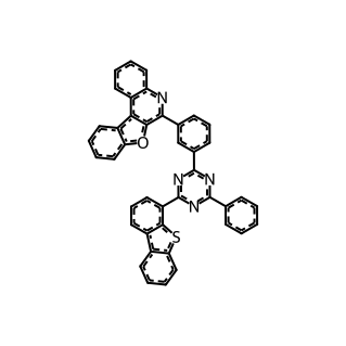 c1ccc(-c2nc(-c3cccc(-c4nc5ccccc5c5c4oc4ccccc45)c3)nc(-c3cccc4c3sc3ccccc34)n2)cc1